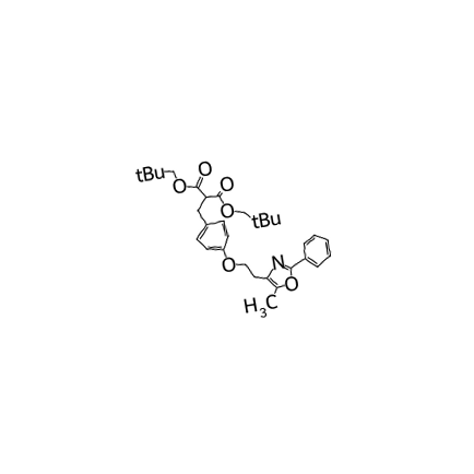 Cc1oc(-c2ccccc2)nc1CCOc1ccc(CC(C(=O)OCC(C)(C)C)C(=O)OCC(C)(C)C)cc1